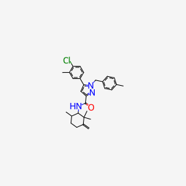 C=C1CCC(C)C(NC(=O)c2cc(-c3ccc(Cl)c(C)c3)n(Cc3ccc(C)cc3)n2)C1(C)C